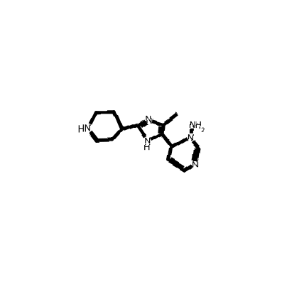 Cc1nc(C2CCNCC2)[nH]c1C1C=CN=CN1N